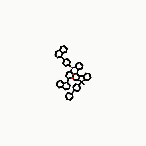 CC1(c2ccc(-c3ccccc3)cc2)c2ccccc2-c2c(-c3ccccc3N(c3ccc(-c4cccc5ccccc45)cc3)c3ccc(-c4cccc5ccccc45)cc3)cccc21